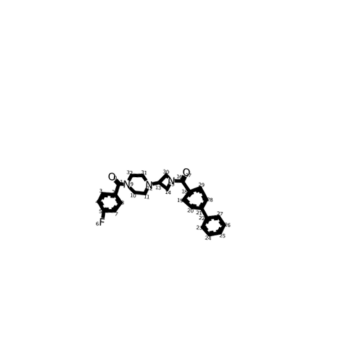 O=C(c1ccc(F)cc1)N1CCN(C2CN(C(=O)c3ccc(-c4ccccc4)cc3)C2)CC1